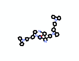 N#Cc1cccc(-c2c(-c3ccc(-n4c5ccccc5c5cc(-c6ccc(-n7c8ccccc8c8ccccc87)cc6)ccc54)cc3)cncc2-c2ccc(-n3c4ccccc4c4cc(-c5ccc(-n6c7ccccc7c7ccccc76)cc5)ccc43)cc2)c1C#N